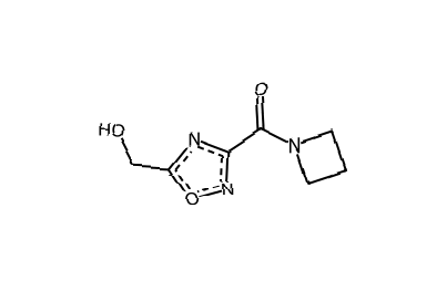 O=C(c1noc(CO)n1)N1CCC1